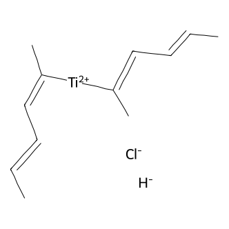 CC=CC=[C](C)[Ti+2][C](C)=CC=CC.[Cl-].[H-]